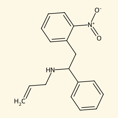 C=CCNC(Cc1ccccc1[N+](=O)[O-])c1ccccc1